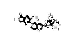 Cc1cc2c(nc1N1CCc3ncc(B4OC(C)(C)C(C)(C)O4)cc3C1)CNC2=O